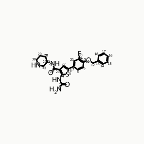 NC(=O)Nc1sc(-c2ccc(OCc3ccccc3)c(F)c2)cc1C(=O)N[C@H]1CCCNC1